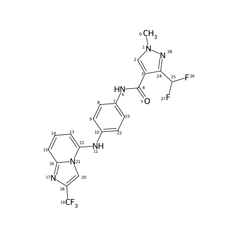 Cn1cc(C(=O)Nc2ccc(Nc3cccc4nc(C(F)(F)F)cn34)cc2)c(C(F)F)n1